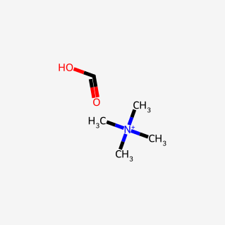 C[N+](C)(C)C.O=CO